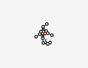 c1ccc(-c2cccc(N(c3ccc(-c4cccc5c4sc4c6ccccc6ccc54)cc3)c3ccccc3-c3ccccc3N(c3cccc(-c4ccccc4)c3)c3ccc4cc(-c5ccccc5)ccc4c3)c2)cc1